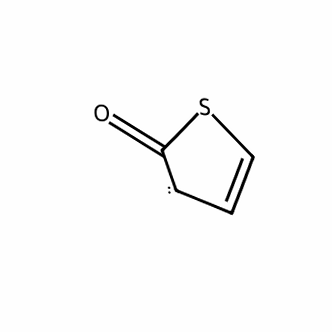 O=C1[C]C=CS1